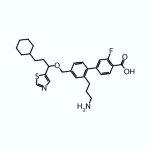 NCCCc1cc(COC(CCC2CCCCC2)c2cncs2)ccc1-c1ccc(C(=O)O)c(F)c1